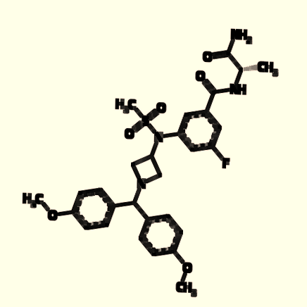 COc1ccc(C(c2ccc(OC)cc2)N2CC(N(c3cc(F)cc(C(=O)N[C@@H](C)C(N)=O)c3)S(C)(=O)=O)C2)cc1